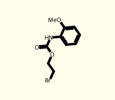 COc1ccccc1NC(=O)OCCBr